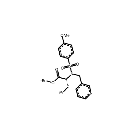 COc1ccc(S(=O)(=O)N(Cc2cccnc2)[C@H](CC(C)C)C(=O)OC(C)(C)C)cc1